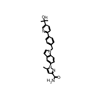 Cc1cc(C(N)=O)nn1-c1ccc2c(ccn2Cc2ccc(-c3ccc(C(C)(C)O)cn3)cc2)c1